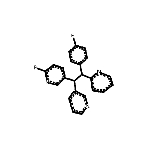 Fc1ccc(C(c2ccccn2)C(c2cccnc2)c2ccc(F)nc2)cc1